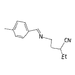 CCC(C#N)CC/N=C/c1ccc(C)cc1